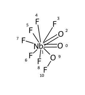 [O]=[Nb](=[O])([F])([F])([F])([F])([F])([F])[O]F